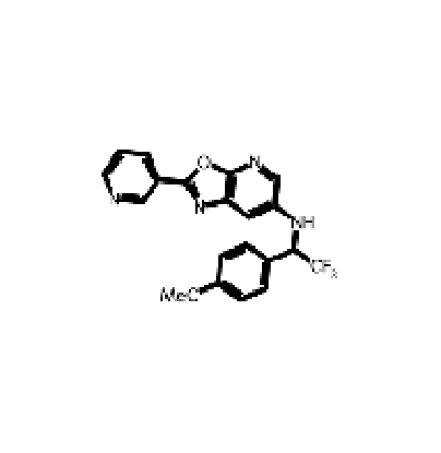 COc1ccc(C(Nc2cnc3oc(-c4cccnc4)nc3c2)C(F)(F)F)cc1